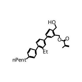 C=C(C)C(=O)OCc1cc(-c2ccc(-c3ccc(CCCCC)cc3)c(CC)c2)ccc1CO